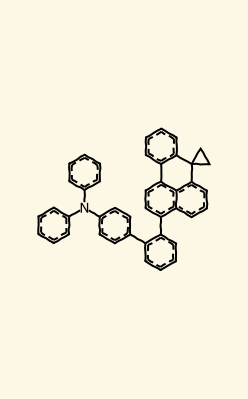 c1ccc(N(c2ccccc2)c2ccc(-c3ccccc3-c3ccc4c5c(cccc35)C3(CC3)c3ccccc3-4)cc2)cc1